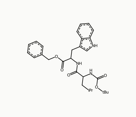 CC(C)CC(NC(=O)OC(C)(C)C)C(=O)NC(Cc1c[nH]c2ccccc12)C(=O)OCc1ccccc1